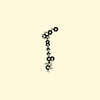 Nc1ncnc2c1c(-c1ccc(Oc3ccccc3)cc1)nn2C1CC2CN(C3CN(C4CN(c5ccc(C(=O)NC6CCC(=O)NC6=O)c6ncccc56)C4)C3)CC2C1